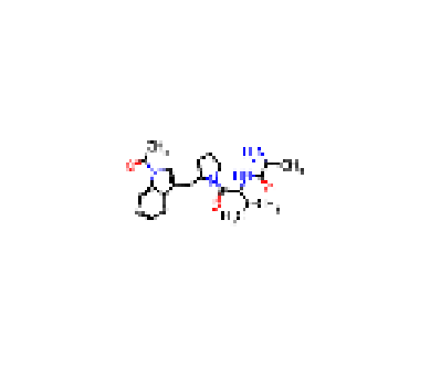 CC(=O)n1cc(CC2CCCN2C(=O)[C@@H](NC(=O)[C@H](C)N)C(C)C)c2ccccc21